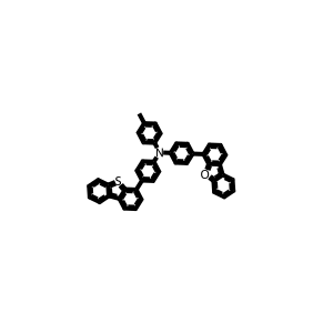 Cc1ccc(N(c2ccc(-c3cccc4c3oc3ccccc34)cc2)c2ccc(-c3cccc4c3sc3ccccc34)cc2)cc1